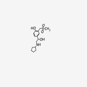 CS(=O)(=O)Cc1cc(C(O)CNC2CCCC2)ccc1O